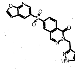 O=c1c2ccc(S(=O)(=O)c3cnc4occc4c3)cc2cnn1Cc1cc[nH]n1